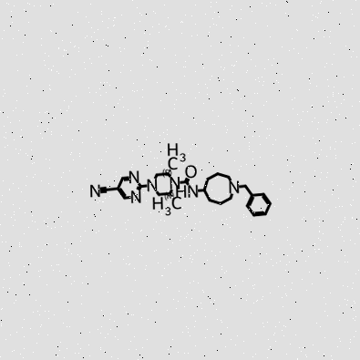 C[C@@H]1CN(c2ncc(C#N)cn2)C[C@H](C)N1C(=O)NC1CCCN(Cc2ccccc2)CCC1